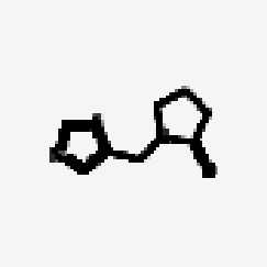 O=C1CCCN1Cc1cncs1